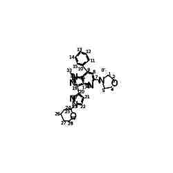 C[C@@H]1COCCN1c1cc(-c2ccccc2)c2c(n1)c(-c1ccn(C3CCCCO3)n1)nn2C